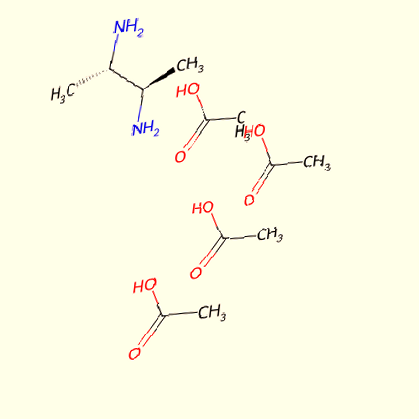 CC(=O)O.CC(=O)O.CC(=O)O.CC(=O)O.C[C@H](N)[C@@H](C)N